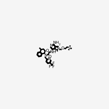 CC1CCC(N(Cc2ccc(C(F)(F)F)cn2)C(=O)C(=O)Nc2cnc(N)c3cn(COCC[Si](C)(C)C)nc23)c2ccccc21